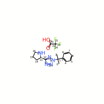 CC(C)(c1ccccc1)n1nnc([C@H]2CCCN2)n1.O=C(O)C(F)(F)F